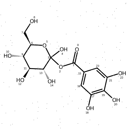 O=C(OC1(O)O[C@H](CO)[C@@H](O)[C@H](O)[C@H]1O)c1cc(O)c(O)c(O)c1